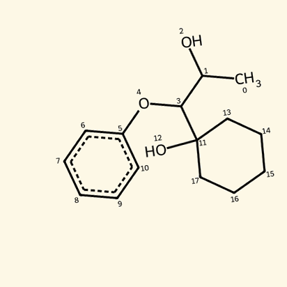 CC(O)C(Oc1ccccc1)C1(O)CCCCC1